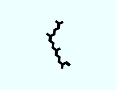 C=CC(C)CC/C=C(\C)CCC=C(C)CCC=C(C)C